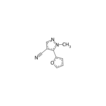 Cn1ncc(C#N)c1-c1ccco1